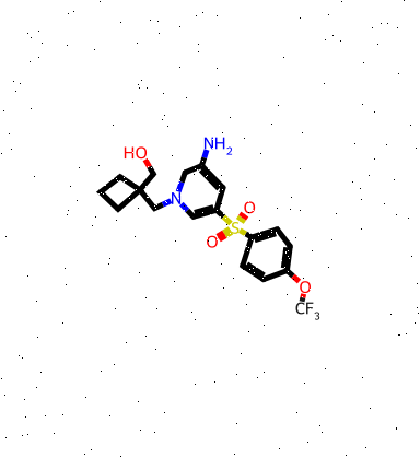 NC1=CC(S(=O)(=O)c2ccc(OC(F)(F)F)cc2)=CN(CC2(CO)CCC2)C1